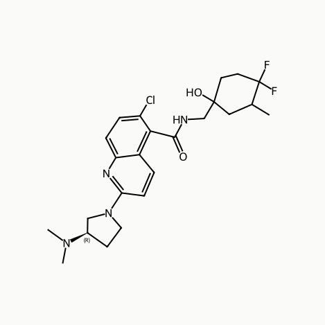 CC1CC(O)(CNC(=O)c2c(Cl)ccc3nc(N4CC[C@@H](N(C)C)C4)ccc23)CCC1(F)F